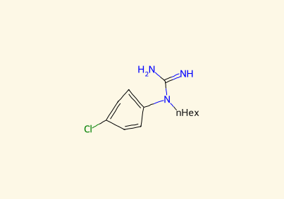 CCCCCCN(C(=N)N)c1ccc(Cl)cc1